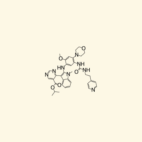 COc1cc(N2CCOCC2)c(NC(=O)NCCc2ccncc2)cc1Nc1c(-c2ncncc2C(=O)OC(C)C)c2ccccc2n1C